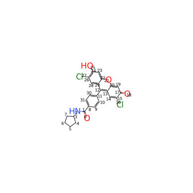 O=C(NC1CCCC1)c1ccc(-c2c3cc(Cl)c(=O)cc-3oc3cc(O)c(Cl)cc23)cc1